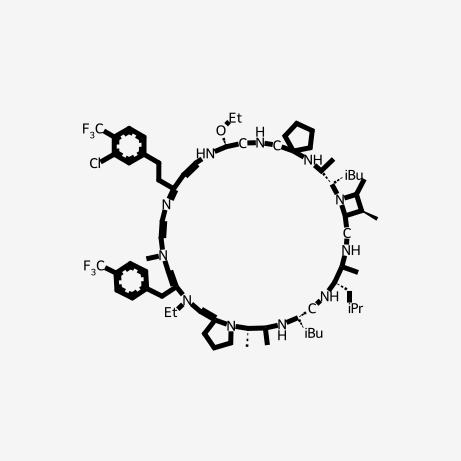 CCO[C@@H]1CNCC2(CCCC2)NC(C)[C@H]([C@@H](C)CC)N2C(C)[C@@H](C)C2CNC(C)[C@H](CC(C)C)NC[C@H]([C@@H](C)CC)NC(C)[C@H](C)N2CCCC2=CN(CC)C(Cc2ccc(C(F)(F)F)cc2)=CN(C)C=CN=C(CCc2ccc(C(F)(F)F)c(Cl)c2)C=CN1